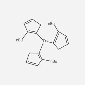 CCCCC1=[C]([Er]([C]2=C(CCCC)C=CC2)[C]2=C(CCCC)C=CC2)CC=C1